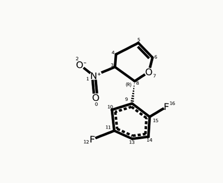 O=[N+]([O-])C1CC=CO[C@@H]1c1cc(F)ccc1F